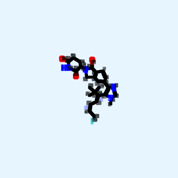 Cn1cnc(-c2ccc3c(c2)CN(C2CCC(=O)NC2=O)C3=O)c1/C(=C/C=C\CF)C(C)(C)C